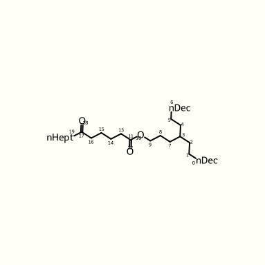 CCCCCCCCCCCCC(CCCCCCCCCCCC)CCCOC(=O)CCCCC(=O)CCCCCCC